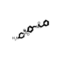 NC1CCN(S(=O)(=O)c2ccc(CNC(=O)Cc3ccccc3)cc2)CC1